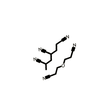 CC(C#N)CC(C#N)CCC#N.N#CCCOCCC#N